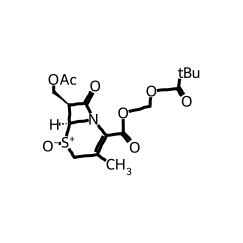 CC(=O)OC[C@H]1C(=O)N2C(C(=O)OCOC(=O)C(C)(C)C)=C(C)C[S+]([O-])[C@@H]12